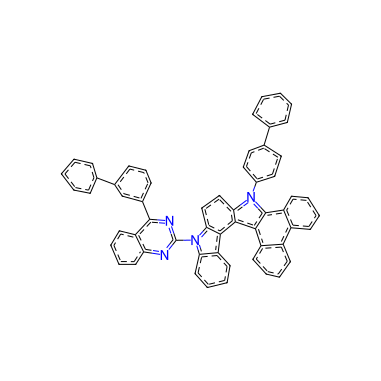 c1ccc(-c2ccc(-n3c4ccc5c(c6ccccc6n5-c5nc(-c6cccc(-c7ccccc7)c6)c6ccccc6n5)c4c4c5ccccc5c5ccccc5c43)cc2)cc1